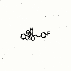 Cc1ccccc1S(=O)(=O)NC(=O)C=Cc1ccc(F)cc1